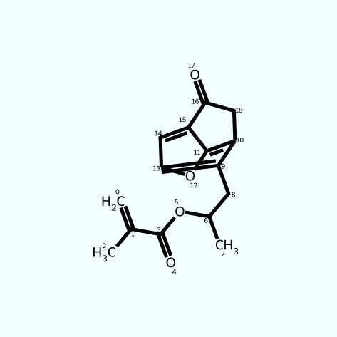 C=C(C)C(=O)OC(C)Cc1c2c3oc1cc3C(=O)C2